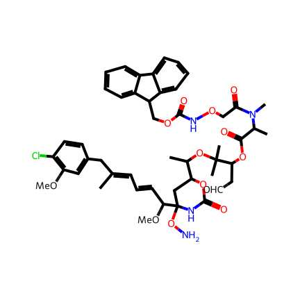 COc1cc(C/C(C)=C/C=C/C(OC)C2(ON)CC(C(C)OC(C)(C)C(CC=O)OC(=O)C(C)N(C)C(=O)CONC(=O)OCC3c4ccccc4-c4ccccc43)OC(=O)N2)ccc1Cl